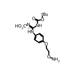 CC(C)(C)OC(=O)N/C(=N/C(=O)O)Nc1ccc(OCCON)cc1